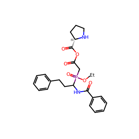 CCOP(=O)(CC(=O)OC(=O)[C@@H]1CCCN1)C(CCc1ccccc1)NC(=O)c1ccccc1